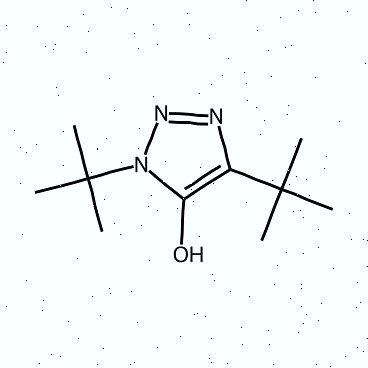 CC(C)(C)c1nnn(C(C)(C)C)c1O